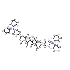 Cc1cc(-c2ccc(N(c3ccccc3)c3ccccc3)cc2)cc2c1-c1ccc3c(c1C2(C)C)C(C)(C)c1cc(-c2ccc(N(c4ccccc4)c4ccccc4)cc2)cc(C)c1-3